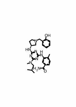 Cc1ccc(C(N)=O)cc1Nc1nc(N[C@H]2CCN(Cc3ccccc3O)C2)nc(N(C)CC(C)C)n1